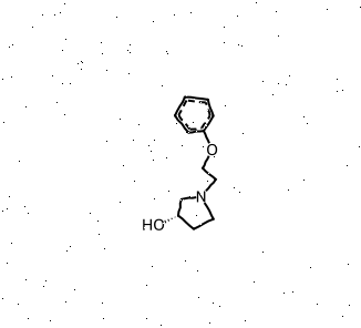 O[C@H]1CCN(CCOc2ccccc2)C1